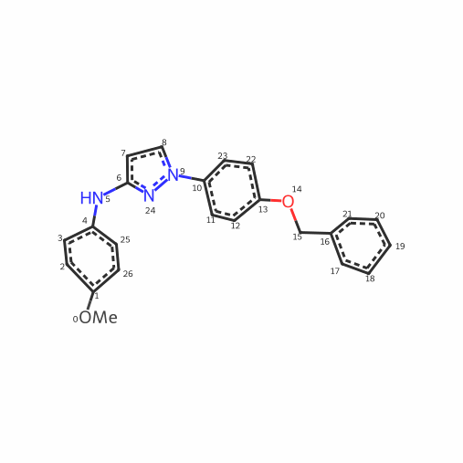 COc1ccc(Nc2ccn(-c3ccc(OCc4ccccc4)cc3)n2)cc1